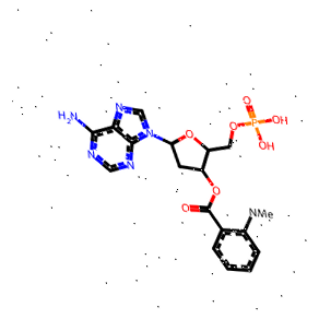 CNc1ccccc1C(=O)OC1CC(n2cnc3c(N)ncnc32)OC1COP(=O)(O)O